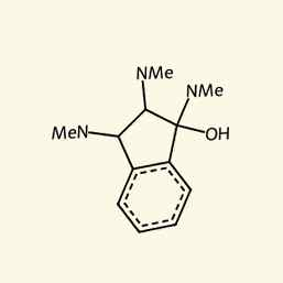 CNC1c2ccccc2C(O)(NC)C1NC